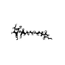 CCN1CC(=O)N(C(C)(C)CCOCCOCCC(C)(C)N2C(=S)CN(CC)C2=S)C1=O